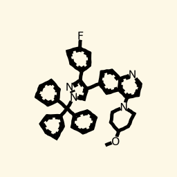 COC1CCN(c2ccnc3ccc(-c4cn(C(c5ccccc5)(c5ccccc5)c5ccccc5)nc4-c4ccc(F)cc4)cc23)CC1